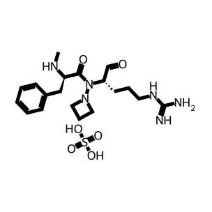 CN[C@H](Cc1ccccc1)C(=O)N([C@H](C=O)CCCNC(=N)N)N1CCC1.O=S(=O)(O)O